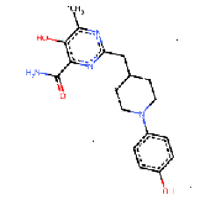 Cc1nc(CC2CCN(c3ccc(O)cc3)CC2)nc(C(N)=O)c1O